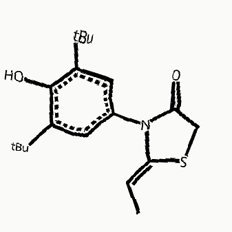 CC=C1SCC(=O)N1c1cc(C(C)(C)C)c(O)c(C(C)(C)C)c1